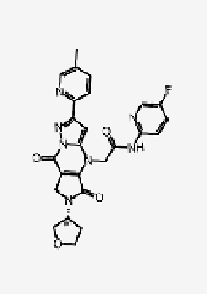 Cc1ccc(-c2cc3n(CC(=O)Nc4ccc(F)cn4)c4c(c(=O)n3n2)CN([C@@H]2CCOC2)C4=O)nc1